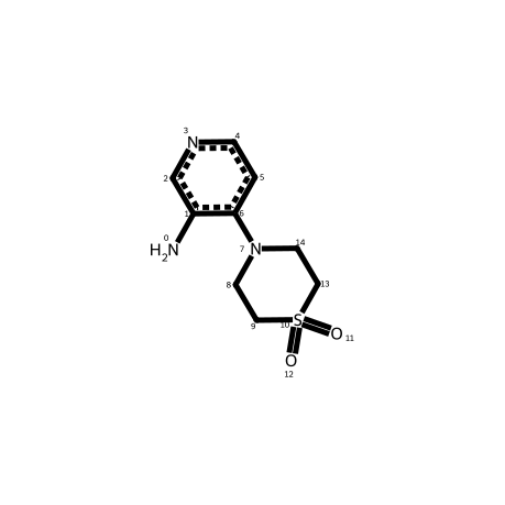 Nc1cnccc1N1CCS(=O)(=O)CC1